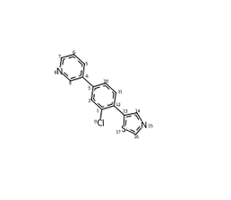 Clc1cc(-c2cccnc2)ccc1-c1cncs1